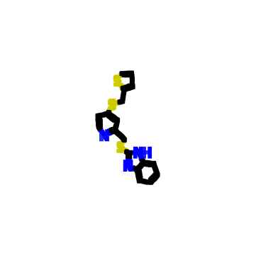 c1csc(CSc2ccnc(CSc3nc4ccccc4[nH]3)c2)c1